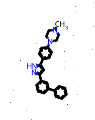 CN1CCN(c2ccc(-c3cc(-c4cccc(-c5ccccc5)c4)n[nH]3)cc2)CC1